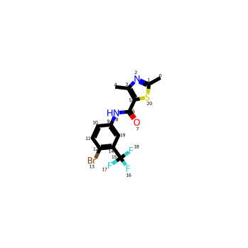 Cc1nc(C)c(C(=O)Nc2ccc(Br)c(C(F)(F)F)c2)s1